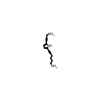 NCC#Cc1ccc(C#CCCCCN)[nH]1